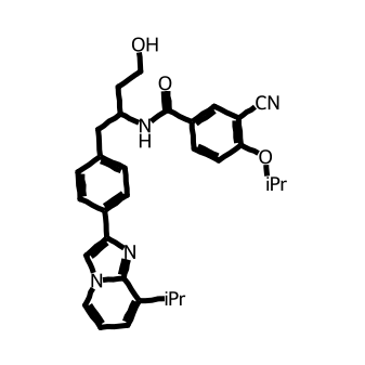 CC(C)Oc1ccc(C(=O)NC(CCO)Cc2ccc(-c3cn4cccc(C(C)C)c4n3)cc2)cc1C#N